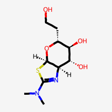 CN(C)C1=N[C@@H]2[C@@H](O)[C@H](O)[C@@H](CCO)O[C@@H]2S1